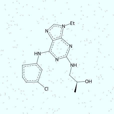 CCn1cnc2c(Nc3cccc(Cl)c3)nc(NC[C@H](C)O)nc21